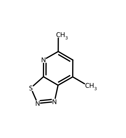 Cc1cc(C)c2nnsc2n1